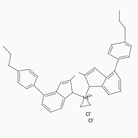 CCCc1ccc(-c2cccc3c2C=C(C)[CH]3[Hf+2]2([CH]3C(C)=Cc4c(-c5ccc(CCC)cc5)cccc43)[CH2][CH2]2)cc1.[Cl-].[Cl-]